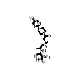 CC(CN(C)OCC(=O)N1CCN(c2ncc(C#N)cn2)CC1)Nc1cn[nH]c(=O)c1C(F)(F)F